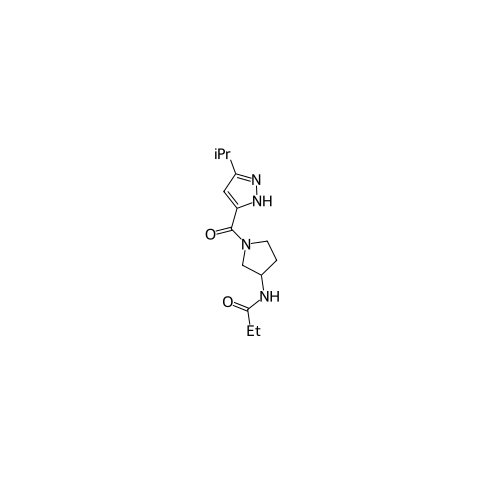 CCC(=O)NC1CCN(C(=O)c2cc(C(C)C)n[nH]2)C1